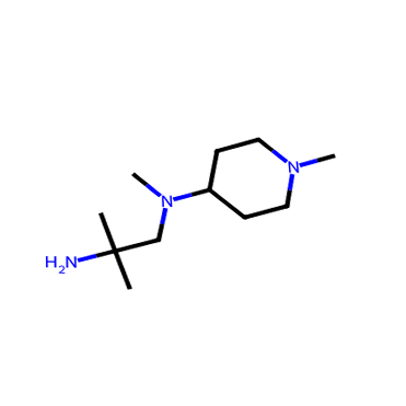 CN1CCC(N(C)CC(C)(C)N)CC1